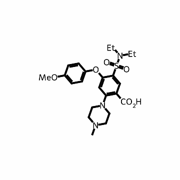 CCN(CC)S(=O)(=O)c1cc(C(=O)O)c(N2CCN(C)CC2)cc1Oc1ccc(OC)cc1